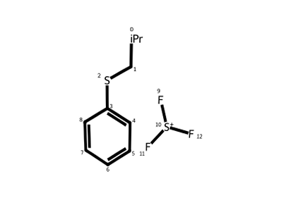 CC(C)CSc1ccccc1.F[S+](F)F